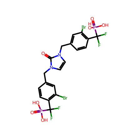 O=c1n(Cc2ccc(C(F)(F)P(=O)(O)O)c(Br)c2)ccn1Cc1ccc(C(F)(F)P(=O)(O)O)c(Br)c1